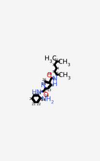 CC(C)CCCC(C)NC(=O)c1ccc(C(=O)Nc2ccccc2N)nc1